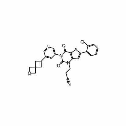 N#CCCn1c(=O)n(-c2cncc(C3CC4(COC4)C3)c2)c(=O)c2sc(-c3ccccc3Cl)cc21